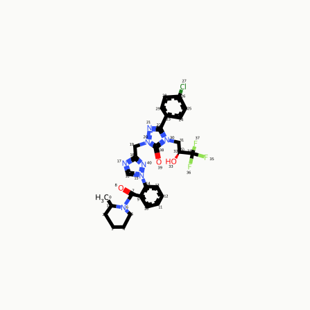 CC1CCCCN1C(=O)c1ccccc1-n1cnc(Cn2nc(-c3ccc(Cl)cc3)n(C[C@H](O)C(F)(F)F)c2=O)n1